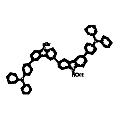 CCCCCCCCn1c2ccc(-c3ccc(N(c4ccccc4)c4ccccc4)cc3)cc2c2cc(-c3ccc4c(c3)c3cc(-c5ccc(N(c6ccccc6)c6ccccc6)cc5)ccc3n4CCCC)ccc21